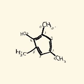 [CH2]c1cc(C)cc(C)c1O